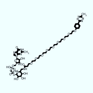 Cc1nnc(-c2ccc(OCCOCCOCCOCCOCCOCCOCCOCCOCCC(=O)NCC3O[C@H](OP(=O)(O)OP(=O)(O)OC[C@H]4O[C@@H](n5cnc6c(=O)[nH]c(C)nc65)[C@@H](O)C4O)C(O)[C@@H](O)[C@@H]3O)cc2)nn1